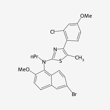 CCCN(c1nc(-c2ccc(OC)cc2Cl)c(C)s1)c1c(OC)ccc2cc(Br)ccc12